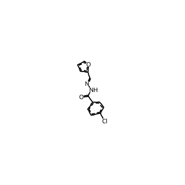 O=C(N/N=C/c1ccco1)c1ccc(Cl)cc1